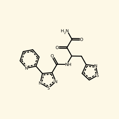 NC(=O)C(=O)C(Cc1ccsn1)NC(=O)c1nsnc1-c1ccccn1